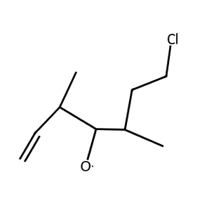 C=CC(C)C([O])C(C)CCCl